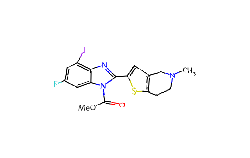 COC(=O)n1c(-c2cc3c(s2)CCN(C)C3)nc2c(I)cc(F)cc21